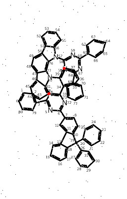 c1ccc(-c2nc(-c3ccc4c(c3)-c3ccccc3C4(c3ccccc3)c3ccccc3)nc(-c3ccccc3-n3c4ccccc4c4ccc5c6ccccc6n(-c6nc(-c7ccccc7)nc(-c7ccccc7)n6)c5c43)n2)cc1